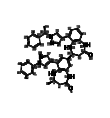 C[C@@H]1CC(=O)Nc2cc([C@@H]3CC(=O)Nc4cccc(-c5cnn([C@H](C)c6ccccc6)c5)c4N3)cc(-c3cnn(-c4ccccc4)c3)c2N1